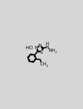 CCc1ccccc1-c1nnc(NN)s1.Cl